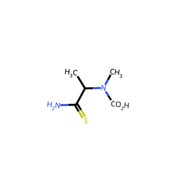 CC(C(N)=S)N(C)C(=O)O